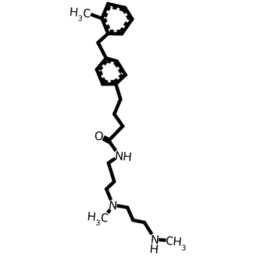 CNCCCN(C)CCCNC(=O)CCCc1ccc(Cc2ccccc2C)cc1